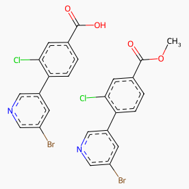 COC(=O)c1ccc(-c2cncc(Br)c2)c(Cl)c1.O=C(O)c1ccc(-c2cncc(Br)c2)c(Cl)c1